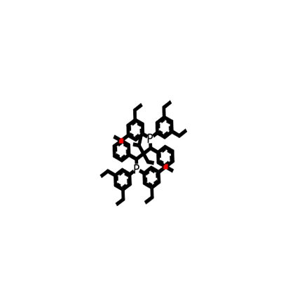 CCc1cc(CC)cc(P(c2cc(CC)cc(CC)c2)C(c2ccccc2)C(CC)(C(C)C)C(c2ccccc2)P(c2cc(CC)cc(CC)c2)c2cc(CC)cc(CC)c2)c1